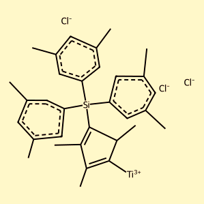 CC1=[C]([Ti+3])C(C)C([Si](c2cc(C)cc(C)c2)(c2cc(C)cc(C)c2)c2cc(C)cc(C)c2)=C1C.[Cl-].[Cl-].[Cl-]